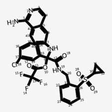 Nc1nccc2cc(NC(OC(=O)C(F)(F)F)(C(=O)NCc3ccccc3S(=O)(=O)C3CC3)c3cccc(Cl)c3)ccc12